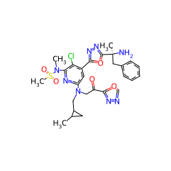 CC1CC1CN(CC(=O)c1nnco1)c1cc(-c2nnc([C@@](C)(N)Cc3ccccc3)o2)c(Cl)c(N(C)S(C)(=O)=O)n1